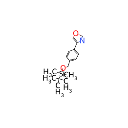 CC(C)(C)[Si](C)(C)OCc1ccc(-c2cocn2)cc1